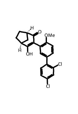 COc1ccc(-c2ccc(Cl)cc2Cl)cc1C1=C(O)[C@H]2CC[C@H](C2)C1=O